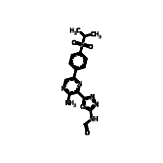 CC(C)S(=O)(=O)c1ccc(-c2cnc(N)c(-c3nnc(N[C]=O)o3)n2)cc1